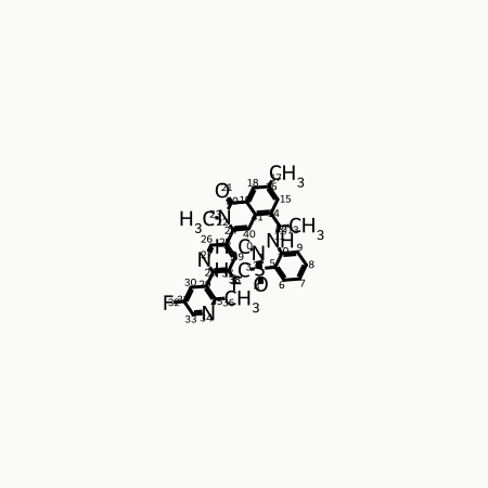 CN=S(C)(=O)c1ccccc1N[C@H](C)c1cc(C)cc2c(=O)n(C)c(-c3cnc(-c4cc(F)cnc4C)c(F)c3)cc12